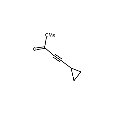 COC(=O)C#CC1CC1